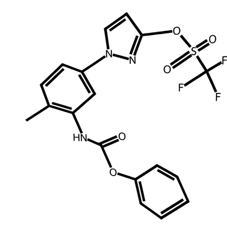 Cc1ccc(-n2ccc(OS(=O)(=O)C(F)(F)F)n2)cc1NC(=O)Oc1ccccc1